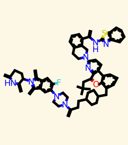 C=C1CCC(n2c(=C)c3cc(F)c(N4CCN(C(=C)CCC5CCC(Cc6cccc(-c7ccc(N8CCc9cccc(C(=C)Nc%10nc%11ccccc%11s%10)c9C8)nc7C(=O)CC(C)(C)C)c6C)CC5)CC4)cc3c2=C)C(=C)N1